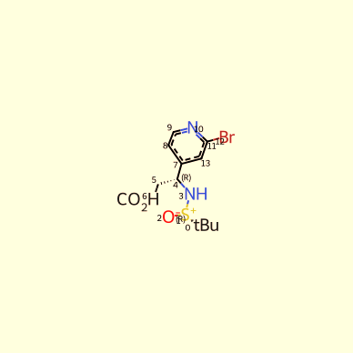 CC(C)(C)[S@+]([O-])N[C@H](CC(=O)O)c1ccnc(Br)c1